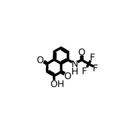 O=C1C=C(O)C(=O)c2c(NC(=O)C(F)(F)F)cccc21